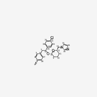 Fc1ccc(CC(O[C@H]2CCC[C@H](Cn3ccnc3)O2)c2ccc(Cl)cc2)cc1